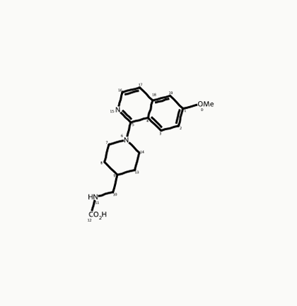 COc1ccc2c(N3CCC(CNC(=O)O)CC3)nccc2c1